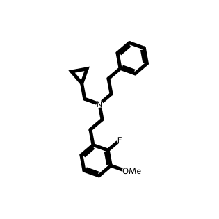 COc1cccc(CCN(CCc2ccccc2)CC2CC2)c1F